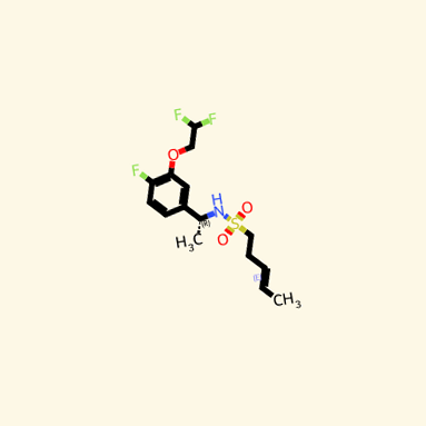 C/C=C/CCS(=O)(=O)N[C@H](C)c1ccc(F)c(OCC(F)F)c1